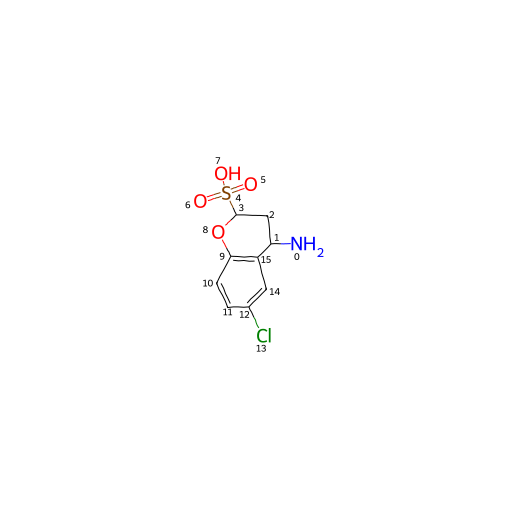 NC1CC(S(=O)(=O)O)Oc2ccc(Cl)cc21